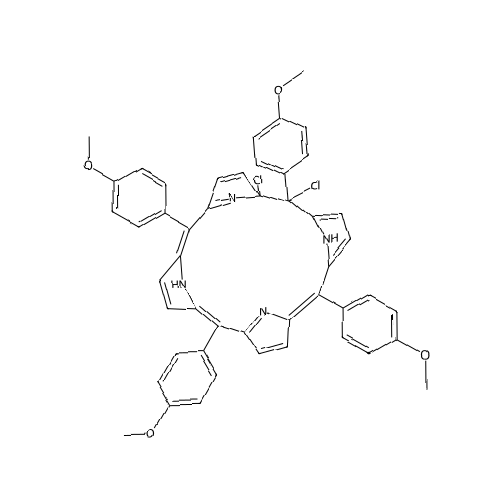 COc1ccc(C2=C3C=CC(=N3)C(c3ccc(OC)cc3)=c3ccc([nH]3)=C(c3ccc(OC)cc3)C3=NC(Cl)(C=C3)C(Cl)(c3ccc(OC)cc3)c3ccc2[nH]3)cc1